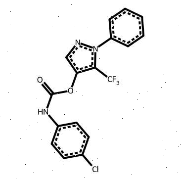 O=C(Nc1ccc(Cl)cc1)Oc1cnn(-c2ccccc2)c1C(F)(F)F